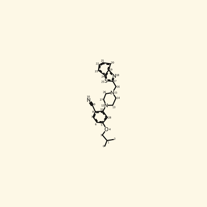 CC(C)COc1ccc(C#N)c(N2CCN(Cc3nc4ccccc4s3)CC2)c1